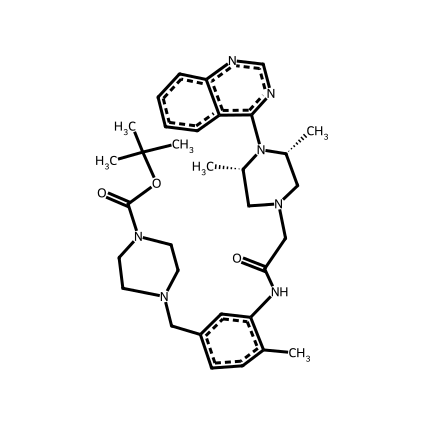 Cc1ccc(CN2CCN(C(=O)OC(C)(C)C)CC2)cc1NC(=O)CN1C[C@@H](C)N(c2ncnc3ccccc23)[C@@H](C)C1